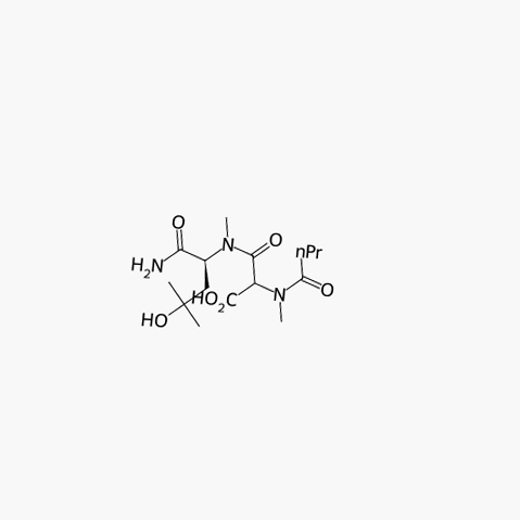 CCCC(=O)N(C)C(C(=O)O)C(=O)N(C)[C@@H](CC(C)(C)O)C(N)=O